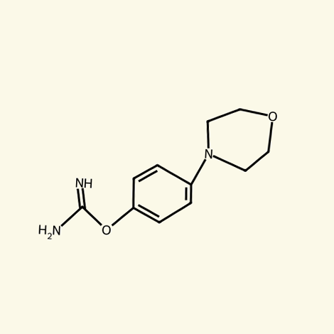 N=C(N)Oc1ccc(N2CCOCC2)cc1